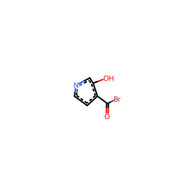 O=C(Br)c1ccncc1O